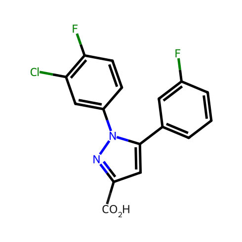 O=C(O)c1cc(-c2cccc(F)c2)n(-c2ccc(F)c(Cl)c2)n1